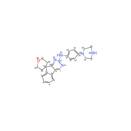 c1ccc2c(c1)-c1cnc(Nc3ccc(N4CCNCC4)cc3)nc1C21CCOCC1